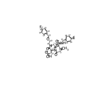 CN1CC(=O)N2[C@H](CN(CCOCc3ccc(F)cc3)C(=O)[C@@H]2CC(=O)O)C1C(=O)NCc1ccc(F)cc1